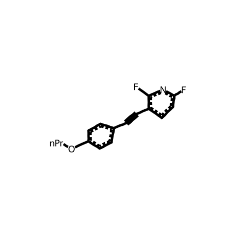 CCCOc1ccc(C#Cc2ccc(F)nc2F)cc1